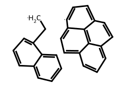 [CH2]Cc1cccc2ccccc12.[c]1ccc2ccc3cccc4ccc1c2c43